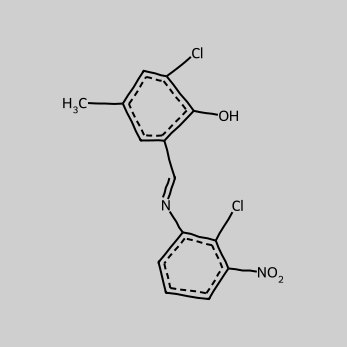 Cc1cc(Cl)c(O)c(/C=N/c2cccc([N+](=O)[O-])c2Cl)c1